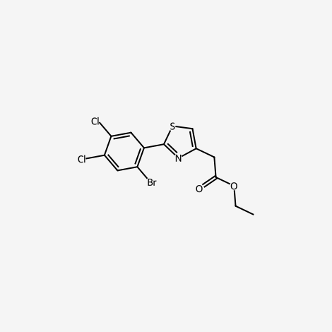 CCOC(=O)Cc1csc(-c2cc(Cl)c(Cl)cc2Br)n1